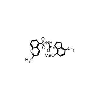 COc1ccc(C(F)(F)F)c2c1[C@@H](C(=O)NS(=O)(=O)c1cccc3nc(C)ccc13)CC2